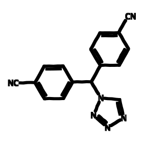 N#Cc1ccc(C(c2ccc(C#N)cc2)n2cnnn2)cc1